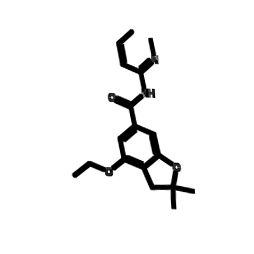 C/C=C\C(=N/C)NC(=O)c1cc(OCC)c2c(c1)OC(C)(C)C2